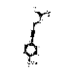 COc1ccc(C#CCSC(=O)C(C)=O)cc1